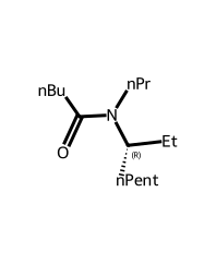 CCCCC[C@@H](CC)N(CCC)C(=O)CCCC